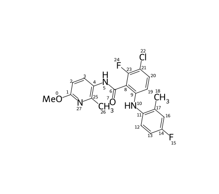 COc1ccc(NC(=O)c2c(Nc3ccc(F)cc3C)ccc(Cl)c2F)c(C)n1